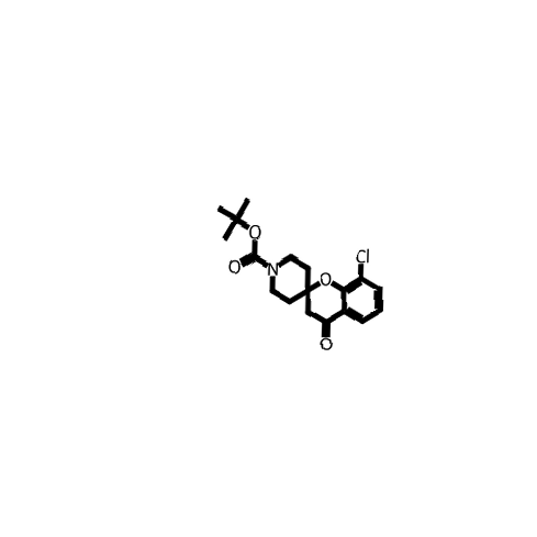 CC(C)(C)OC(=O)N1CCC2(CC1)CC(=O)c1cccc(Cl)c1O2